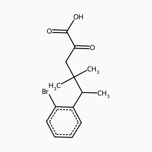 CC(c1ccccc1Br)C(C)(C)CC(=O)C(=O)O